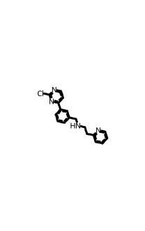 Clc1nccc(-c2cccc(CNCCc3ccccn3)c2)n1